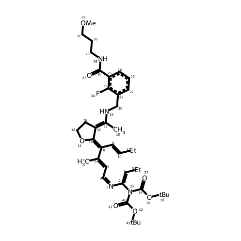 CC/C=C(/N=C\C=C(/C)C(/C=C/CC)=C1OCC/C1=C(/C)NCc1cccc(C(=O)NCCCOC)c1F)N(C(=O)OC(C)(C)C)C(=O)OC(C)(C)C